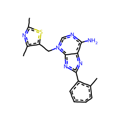 Cc1nc(C)c(Cn2cnc(N)c3nc(-c4ccccc4C)nc2-3)s1